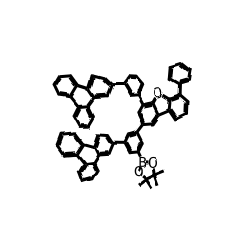 CC1(C)OB(c2cc(-c3cc(-c4cccc(-c5ccc6c7ccccc7c7ccccc7c6c5)c4)c4oc5c(-c6ccccc6)cccc5c4c3)cc(-c3ccc4c5ccccc5c5ccccc5c4c3)c2)OC1(C)C